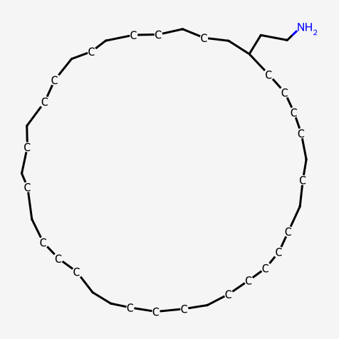 NCCC1CCCCCCCCCCCCCCCCCCCCCCCCCCCCCCCCCCCC1